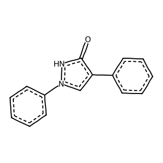 O=c1[nH]n(-c2ccccc2)cc1-c1ccccc1